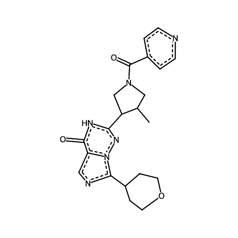 CC1CN(C(=O)c2ccncc2)CC1c1nn2c(C3CCOCC3)ncc2c(=O)[nH]1